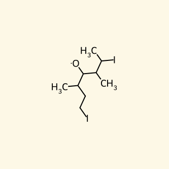 CC(I)C(C)C([O])C(C)CCI